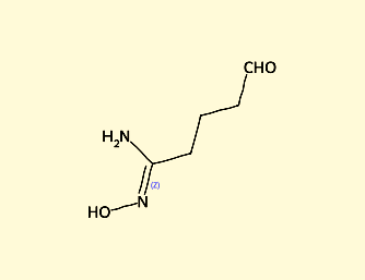 N/C(CCCC=O)=N\O